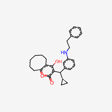 O=c1oc2c(c(O)c1C(c1cccc(NCCc3ccccc3)c1)C1CC1)CCCCCC2